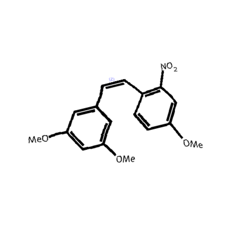 COc1cc(/C=C\c2ccc(OC)cc2[N+](=O)[O-])cc(OC)c1